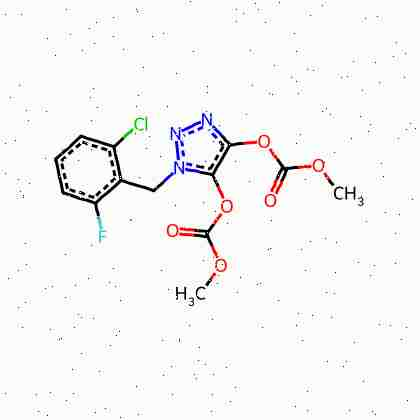 COC(=O)Oc1nnn(Cc2c(F)cccc2Cl)c1OC(=O)OC